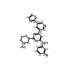 CC(=O)N1CCCC(c2nc(Nc3cccc(F)c3)cc(-c3cncc(-c4nccs4)c3)n2)C1